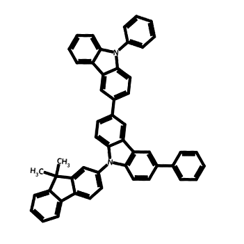 CC1(C)c2ccccc2-c2ccc(-n3c4ccc(-c5ccccc5)cc4c4cc(-c5ccc6c(c5)c5ccccc5n6-c5ccccc5)ccc43)cc21